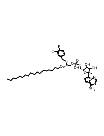 CCCCCCCCCCCCCCCCCCOC[C@H](COP(=O)(O)OC[C@H]1O[C@@](C)(c2ccc3c(N)ncnn23)[C@H](O)[C@@H]1O)OCc1ccc(F)c(Cl)c1